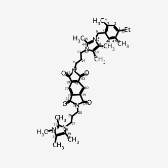 CCc1cc(C)c(C[n+]2c(C)c(C)n(CCCn3c(=O)c4cc5c(=O)n(CCCn6c(C)c(C)[n+](C)c6C)c(=O)c5cc4c3=O)c2C)cc1C